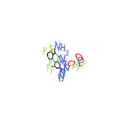 N#Cc1c(N)sc2c(F)ccc(-c3c(C(F)(F)F)cc4c(N5CC6CCC(C5)N6)nc(OCC5(C(F)(F)F)CCOC5)nc4c3F)c12